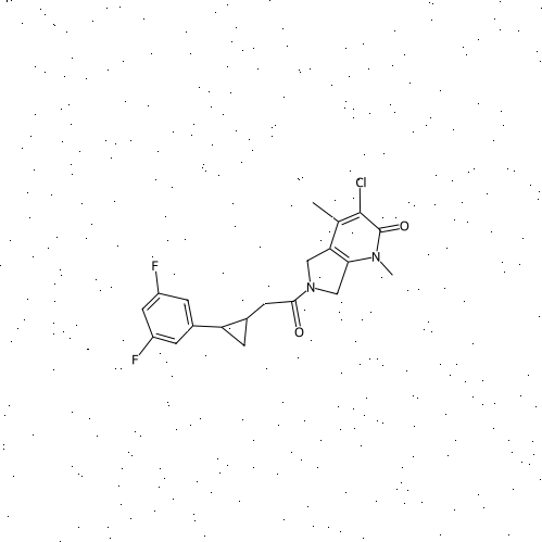 Cc1c2c(n(C)c(=O)c1Cl)CN(C(=O)CC1CC1c1cc(F)cc(F)c1)C2